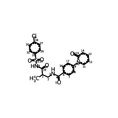 CC(CNC(=O)c1ccc(-n2ccccc2=O)cc1)C(=O)NS(=O)(=O)c1ccc(Cl)cc1